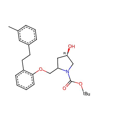 Cc1cccc(CCc2ccccc2OCC2C[C@@H](O)CN2C(=O)OC(C)(C)C)c1